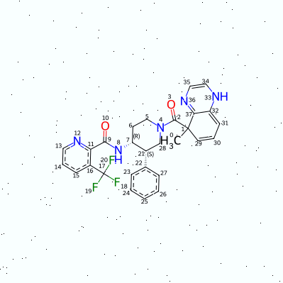 CC1(C(=O)N2CC[C@@H](NC(=O)c3ncccc3C(F)(F)F)[C@@H](c3ccccc3)C2)C=CC=C2NC=CN=C21